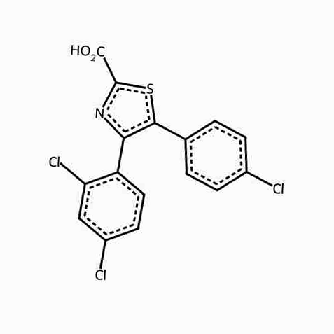 O=C(O)c1nc(-c2ccc(Cl)cc2Cl)c(-c2ccc(Cl)cc2)s1